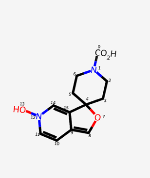 O=C(O)N1CCC2(CC1)OC=C1C=CN(O)C=C12